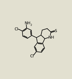 Nc1cc(C2c3cc(Cl)ccc3C3NC(=S)CCC32)ccc1Cl